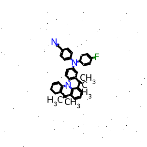 CC1(C)C2=C(C=CCC2)N2c3ccc(N(c4ccc(C#N)cc4)C4C=CC(F)=CC4)cc3C(C)(C)c3cccc1c32